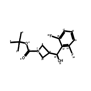 CC(C)(C)OC(=O)N1CC(C(O)c2c(F)cccc2F)C1